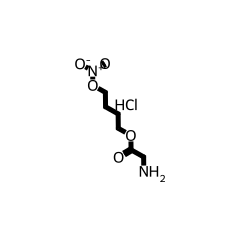 Cl.NCC(=O)OCCCCO[N+](=O)[O-]